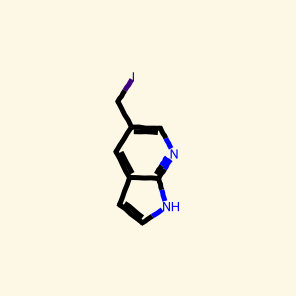 ICc1cnc2[nH]ccc2c1